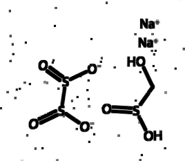 O=S(O)CO.O=S([O-])S(=O)[O-].[Na+].[Na+]